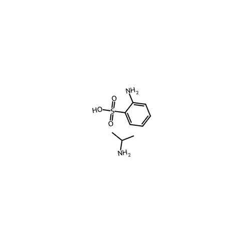 CC(C)N.Nc1ccccc1S(=O)(=O)O